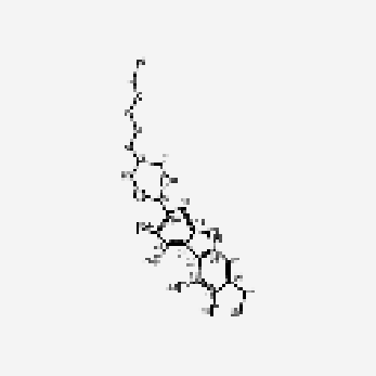 CCCCCCC1COC(c2cc3oc4cc(CC)c(F)c(F)c4c3c(F)c2F)OC1